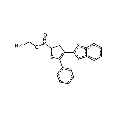 CCO[PH](=O)C1SC(c2ccccc2)=C(c2cc3ccccc3s2)S1